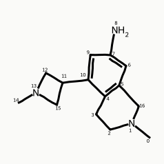 CN1CCc2c(cc(N)cc2C2CN(C)C2)C1